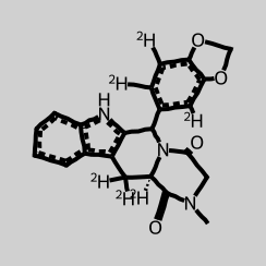 [2H]c1c([2H])c(C2c3[nH]c4ccccc4c3C([2H])([2H])[C@]3([2H])C(=O)N(C)CC(=O)N23)c([2H])c2c1OCO2